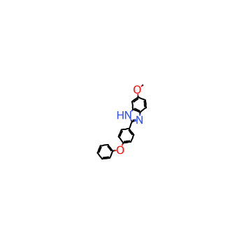 COc1ccc2nc(-c3ccc(Oc4ccccc4)cc3)[nH]c2c1